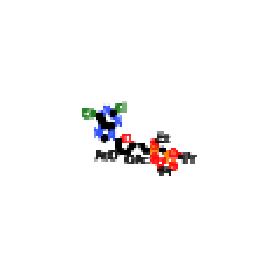 CCOP(=O)(CC[C@H]1O[C@@H](n2cnc3c(Cl)nc(Cl)nc32)[C@H](OC(C)=O)[C@@H]1OC(C)=O)CP(=O)(OC(C)C)OC(C)C